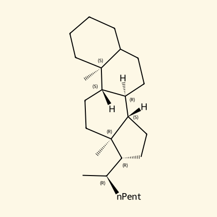 CCCCC[C@@H](C)[C@H]1CC[C@H]2[C@@H]3CCC4CCCC[C@]4(C)[C@H]3CC[C@]12C